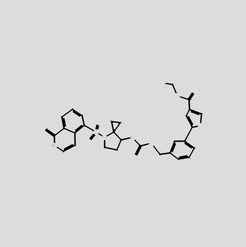 O=C(NC1CCN(S(=O)(=O)c2cccc3c(=O)[nH]ccc23)C12CC2)OCc1cccc(-c2cc(C(=O)OCCl)co2)c1